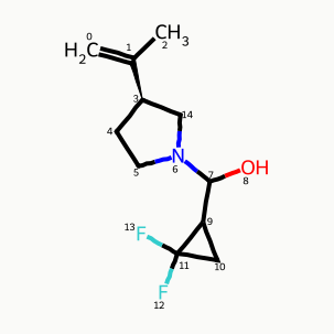 C=C(C)[C@@H]1CCN(C(O)C2CC2(F)F)C1